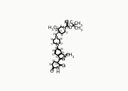 C[C@H]1CN(C(=O)OC(C)(C)C)CC[C@H]1CN1CCN(c2ccc3c(C4CCC(=O)NC4=O)nn(C)c3c2)CC1